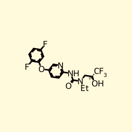 CCN(C[C@@H](O)C(F)(F)F)C(=O)Nc1ccc(Oc2cc(F)ccc2F)cn1